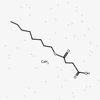 CCCCCCCCOC(=O)CCC(=O)O.[CaH2]